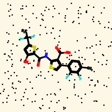 Cc1ccc(-c2csc(NC(=O)c3sc(C(C)(F)F)cc3O)c2C(=O)O)c(F)c1F